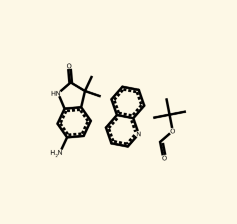 CC(C)(C)OC=O.CC1(C)C(=O)Nc2cc(N)ccc21.c1ccc2ncccc2c1